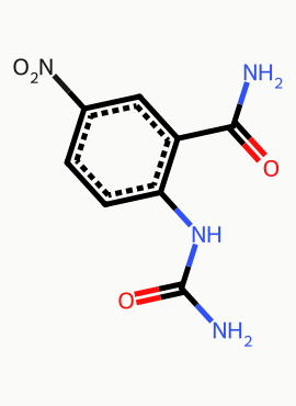 NC(=O)Nc1ccc([N+](=O)[O-])cc1C(N)=O